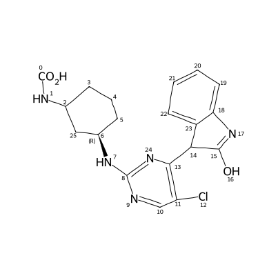 O=C(O)NC1CCC[C@@H](Nc2ncc(Cl)c(C3C(O)=Nc4ccccc43)n2)C1